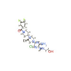 C=C(NCCO)c1nc(Cl)c(N2CCN(C3CCN(C(=O)c4ccc(F)c(F)c4)CC3)[C@@H](CC)C2)nc1N